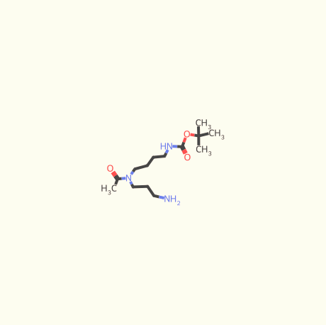 CC(=O)N(CCCN)CCCCNC(=O)OC(C)(C)C